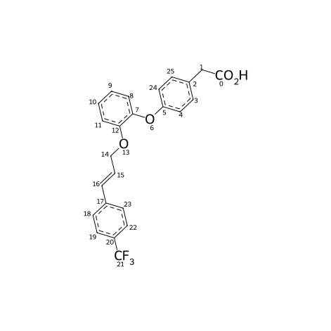 O=C(O)Cc1ccc(Oc2ccccc2OC/C=C/c2ccc(C(F)(F)F)cc2)cc1